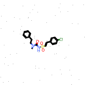 CN(CCc1ccccc1)C(=O)NS(=O)(=O)C=Cc1ccc(Cl)cc1